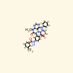 Cc1ccc(NC(=O)c2cccc(C(F)(F)F)c2)cc1-c1nc2c(N(c3ccccc3)N3CCOCC3)ncnc2n(C)c1=O